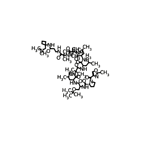 Cc1nc(C(=O)N2CCC[C@H]2C(=O)NC(COC(C)(C)C)C(=O)NC(CC(C)C)C(=O)NC(C)(C)C(=O)NC(CC(C)C)C(=O)NC(CC(C)C)C(=O)NC(C)(C)C(=O)NC(C)(C)C(=O)NCCC(=O)NC2(CN(C)C)CCC2)co1